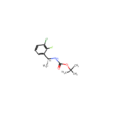 C[C@@H](NC(=O)OC(C)(C)C)c1cccc(Cl)c1F